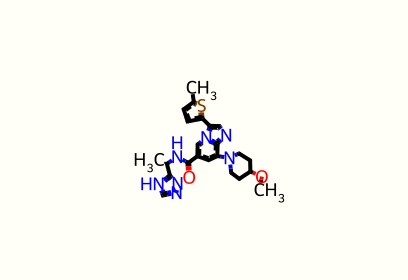 COC1CCN(c2cc(C(=O)N[C@@H](C)c3nnc[nH]3)cn3c(-c4ccc(C)s4)cnc23)CC1